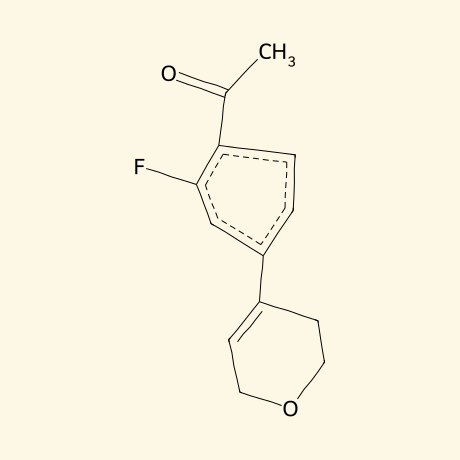 CC(=O)c1ccc(C2=CCOCC2)cc1F